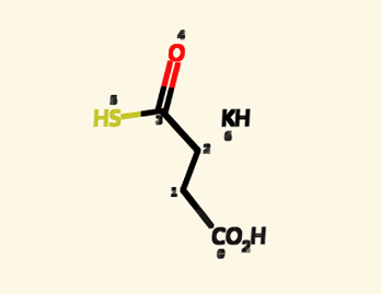 O=C(O)CCC(=O)S.[KH]